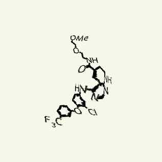 COCCOCCNC(=O)C1=Cc2c(ncnc2Nc2ccc(Oc3cccc(C(F)(F)F)c3)c(Cl)c2)NCC1